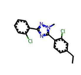 CCc1ccc(-c2nc(-c3ccccc3Cl)nn2C)c(Cl)c1